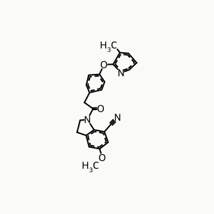 COc1cc(C#N)c2c(c1)CCN2C(=O)Cc1ccc(Oc2ncccc2C)cc1